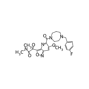 COc1cc2noc(C(=O)C(=O)N(C)C)c2nc1C(=O)N1CCCN(Cc2ccc(F)cc2)CC1